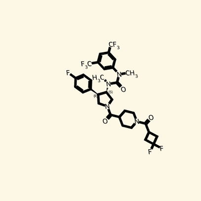 CN(C(=O)N(C)[C@@H]1CN(C(=O)C2CCN(C(=O)C3CC(F)(F)C3)CC2)C[C@H]1c1ccc(F)cc1)c1cc(C(F)(F)F)cc(C(F)(F)F)c1